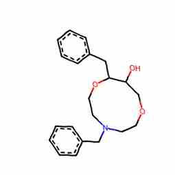 OC1COCCN(Cc2ccccc2)CCOC1Cc1ccccc1